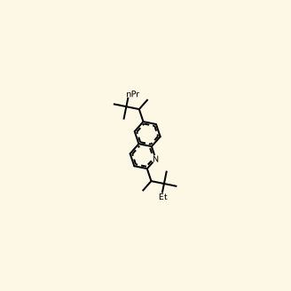 CCCC(C)(C)C(C)c1ccc2nc(C(C)C(C)(C)CC)ccc2c1